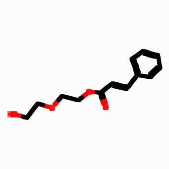 O=C(C=Cc1ccccc1)OCCOCCO